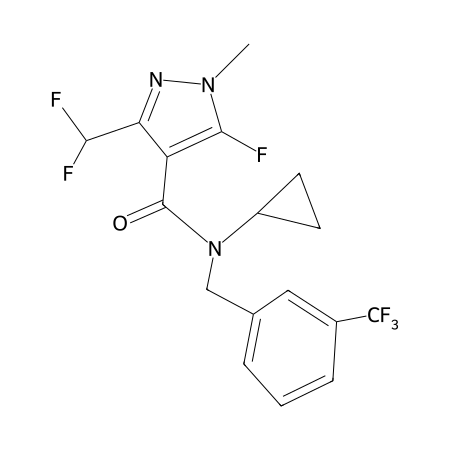 Cn1nc(C(F)F)c(C(=O)N(Cc2cccc(C(F)(F)F)c2)C2CC2)c1F